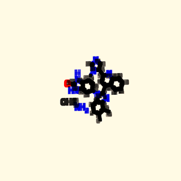 Cc1ccc2c(nc(-c3cc(-c4cncn4C)nc4ccccc34)n2-c2ccc3[nH]c(=O)[nH]c3c2)c1C.NC=O